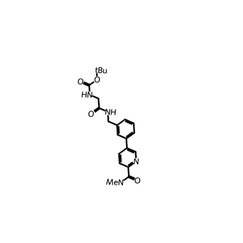 CNC(=O)c1ccc(-c2cccc(CNC(=O)CNC(=O)OC(C)(C)C)c2)cn1